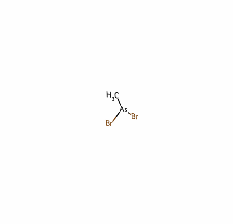 C[As](Br)Br